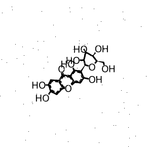 O=c1c2cc(O)c(O)cc2oc2cc(O)c([C@@H]3O[C@H](CO)[C@H](O)[C@H](O)C3O)c(O)c12